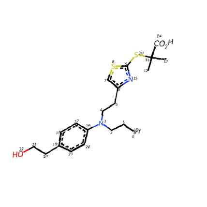 CC(C)CCN(CCc1csc(SC(C)(C)C(=O)O)n1)c1ccc(CCO)cc1